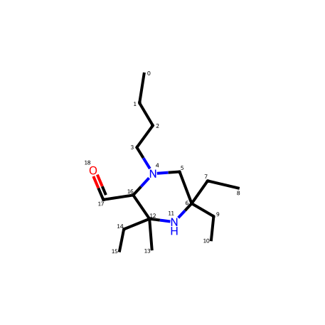 CCCCN1CC(CC)(CC)NC(C)(CC)C1C=O